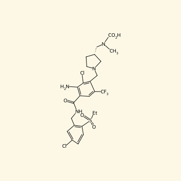 CCS(=O)(=O)c1ccc(Cl)cc1CNC(=O)c1cc(C(F)(F)F)c(CN2CC[C@H](CN(C)C(=O)O)C2)c(Cl)c1N